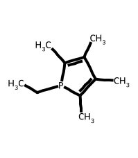 CCp1c(C)c(C)c(C)c1C